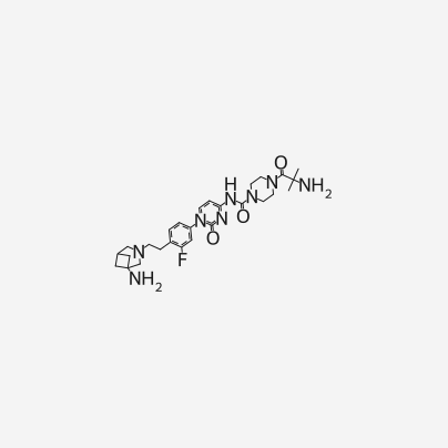 CC(C)(N)C(=O)N1CCN(C(=O)Nc2ccn(-c3ccc(CCN4CC5CC(N)(C5)C4)c(F)c3)c(=O)n2)CC1